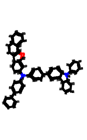 c1ccc(-c2ccc(N(c3ccc(-c4ccc5c(c4)c4ccccc4n5-c4ccccc4)cc3)c3ccc4c(c3)oc3c5ccccc5ccc43)cc2)cc1